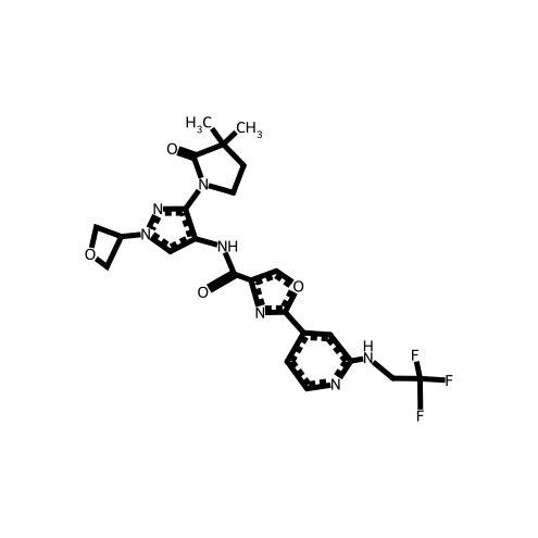 CC1(C)CCN(c2nn(C3COC3)cc2NC(=O)c2coc(-c3ccnc(NCC(F)(F)F)c3)n2)C1=O